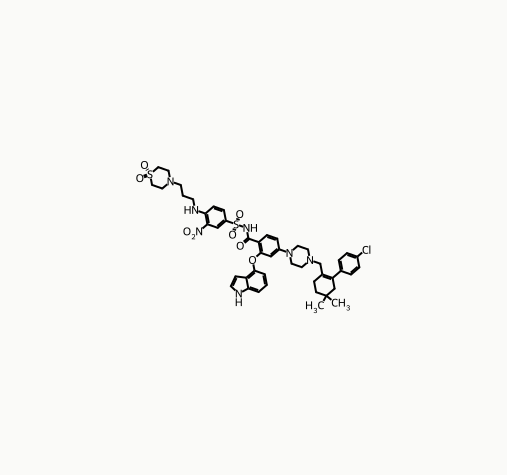 CC1(C)CCC(CN2CCN(c3ccc(C(=O)NS(=O)(=O)c4ccc(NCCCN5CCS(=O)(=O)CC5)c([N+](=O)[O-])c4)c(Oc4cccc5[nH]ccc45)c3)CC2)=C(c2ccc(Cl)cc2)C1